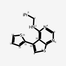 CC(C)CNc1ncnc2scc(-c3cccs3)c12